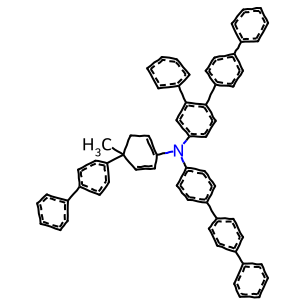 CC1(c2ccc(-c3ccccc3)cc2)C=CC(N(c2ccc(-c3ccc(-c4ccccc4)cc3)cc2)c2ccc(-c3ccc(-c4ccccc4)cc3)c(-c3ccccc3)c2)=CC1